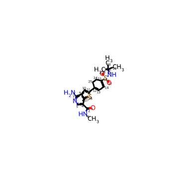 CNC(=O)c1cnc(N)c2cc(C3=CC=C(S(=O)(=O)NC(C)(C)C)CC3)sc12